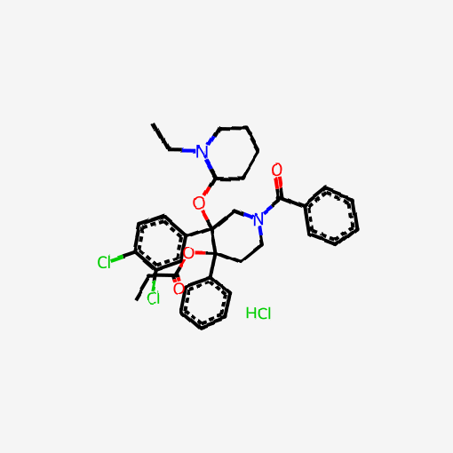 CCC(=O)OC1(c2ccccc2)CCN(C(=O)c2ccccc2)CC1(OC1CCCCN1CC)c1ccc(Cl)c(Cl)c1.Cl